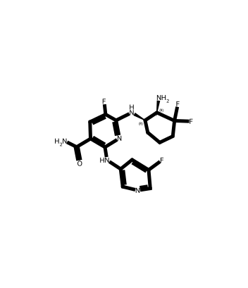 NC(=O)c1cc(F)c(N[C@@H]2CCCC(F)(F)[C@@H]2N)nc1Nc1cncc(F)c1